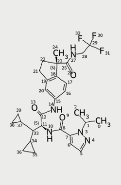 CC(C)n1nccc1C(=O)N[C@H](C(=O)Nc1ccc2c(c1)CC[C@]2(C)C(=O)NCC(F)(F)F)C(C1CC1)C1CC1